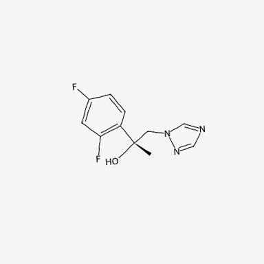 C[C@](O)(Cn1cncn1)c1ccc(F)cc1F